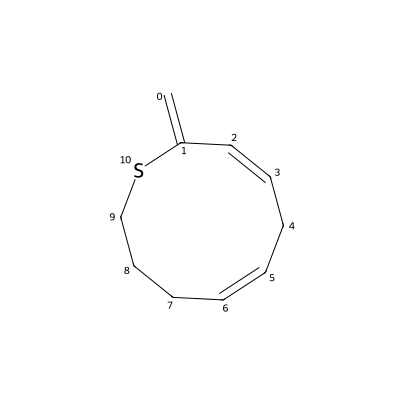 C=C1/C=C\C/C=C\CCCS1